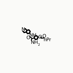 CCCC(=O)COc1ccc(C(CN)C(=O)Nc2ccc3cnccc3c2)cc1